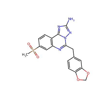 CS(=O)(=O)c1ccc2c(c1)nc(Cc1ccc3c(c1)OCO3)n1nc(N)nc21